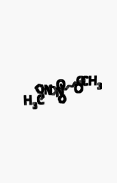 CCc1ccccc1N1CCC(N(C(=O)CCCCC(=O)OC)c2ccccc2)CC1